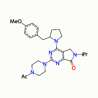 COc1ccc(CC2CCCN2c2nc(N3CCN(C(C)=O)CC3)nc3c2CN(C(C)C)C3=O)cc1